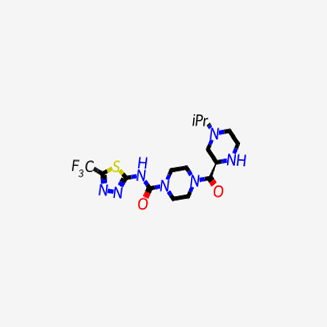 CC(C)N1CCN[C@@H](C(=O)N2CCN(C(=O)Nc3nnc(C(F)(F)F)s3)CC2)C1